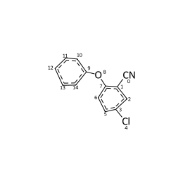 N#Cc1cc(Cl)ccc1Oc1ccccc1